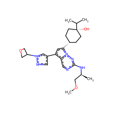 COC[C@H](C)Nc1ncc2c(-c3cnn(C4COC4)c3)cc([C@H]3CC[C@](O)(C(C)C)CC3)n2n1